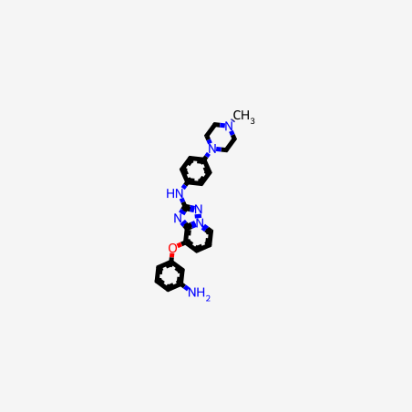 CN1CCN(c2ccc(Nc3nc4c(Oc5cccc(N)c5)cccn4n3)cc2)CC1